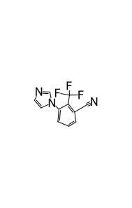 N#Cc1cccc(-n2ccnc2)c1C(F)(F)F